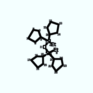 CC[Si](O[Si](CC)(C1CCCC1)C1CCCC1)(C1CCCC1)C1CCCC1